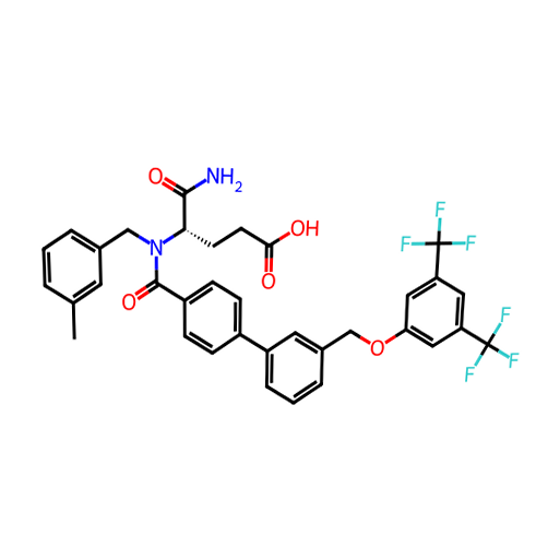 Cc1cccc(CN(C(=O)c2ccc(-c3cccc(COc4cc(C(F)(F)F)cc(C(F)(F)F)c4)c3)cc2)[C@@H](CCC(=O)O)C(N)=O)c1